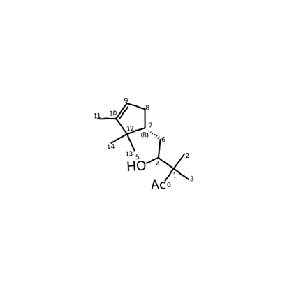 CC(=O)C(C)(C)C(O)C[C@H]1CC=C(C)C1(C)C